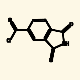 O=C(Cl)c1ccc2c(c1)C(=O)NC2=O